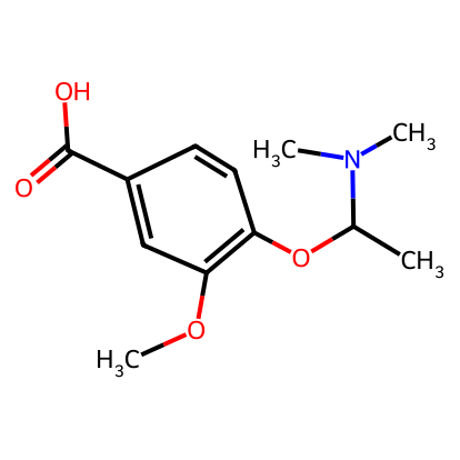 COc1cc(C(=O)O)ccc1OC(C)N(C)C